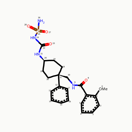 COc1ccccc1C(=O)NC[C@]1(c2ccccc2)CC[C@H](NC(=O)NS(N)(=O)=O)CC1